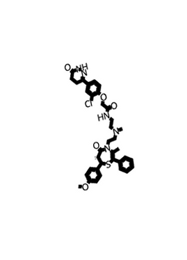 COc1ccc(C2[C]C(=O)N(CCN(C)CCNC(=O)COc3ccc(C4=NNC(=O)CC4)cc3Cl)C(C)=C(c3ccccc3)S2)cc1